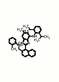 Cc1cc(Nc2c(C(C)C)cccc2C(C)C)c2nc(-c3c(CNc4ccccc4C)ccc4ccccc34)n(C)c2c1